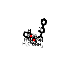 CS(=O)(=O)c1c([C@H]2C[C@H]3CC[C@@H](C2)N3c2nnn[nH]2)nc2c(-c3ccc(-c4ccccc4)nc3)cnn2c1N